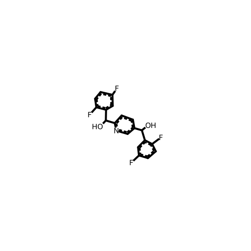 OC(c1ccc(C(O)c2cc(F)ccc2F)nc1)c1cc(F)ccc1F